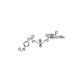 CC(C)(C)OC(=O)NNC(=O)OCCS(=O)(=O)CCOC(=O)Oc1ccc([N+](=O)[O-])cc1